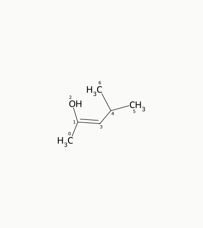 CC(O)=CC(C)C